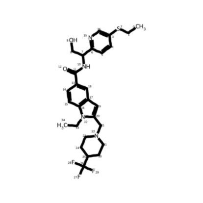 CCSc1ccc(C(CO)NC(=O)c2ccc3c(c2)cc(CN2CCC(C(F)(F)F)CC2)n3CC)nc1